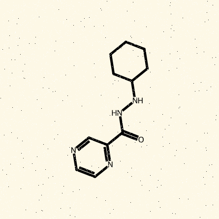 O=C(NNC1CCCCC1)c1cnccn1